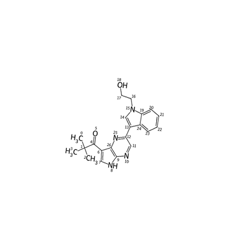 CC(C)(C)C(=O)c1c[nH]c2ncc(-c3cn(CCO)c4ccccc34)nc12